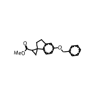 COC(=O)C1CC12CCc1cc(OCc3ccccc3)ccc12